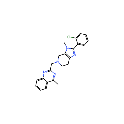 Cc1nc(CN2CCc3nc(-c4ccccc4Cl)n(C)c3C2)nc2ccccc12